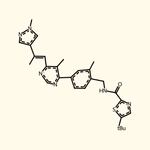 C/C(=C\c1ncnc(-c2ccc(CNC(=O)c3ncc(C(C)(C)C)s3)c(C)c2)c1C)c1cnn(C)c1